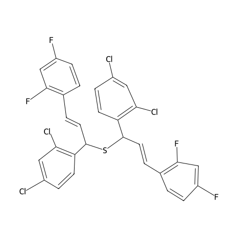 Fc1ccc(C=CC(SC(C=Cc2ccc(F)cc2F)c2ccc(Cl)cc2Cl)c2ccc(Cl)cc2Cl)c(F)c1